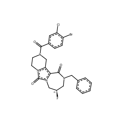 O=C(c1ccc(Br)c(Cl)c1)N1CCn2c(c3n(c2=O)C[C@H](F)CN(Cc2ccccc2)C3=O)C1